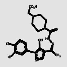 CC(=NNC(=S)N1CCN(CC(=O)O)CC1)c1csc(-c2ccc(Cl)c(Cl)c2)c1O